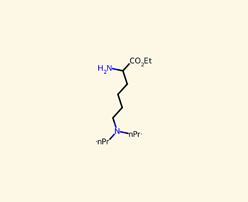 [CH2][CH][CH]N([CH][CH][CH2])CCCCC(N)C(=O)OCC